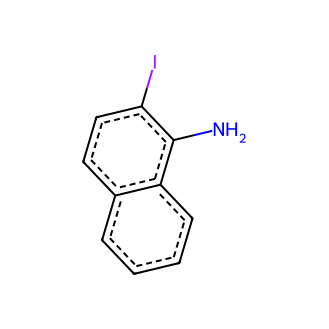 Nc1c(I)ccc2ccccc12